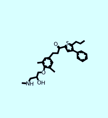 CCCc1sc(C(=O)CCc2cc(C)c(OCC(O)CNC)c(C)c2)cc1-c1ccccc1